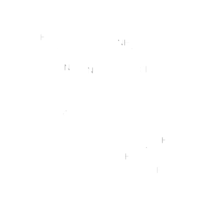 Nc1cc(F)nn1-c1c(Cl)cc(C(F)(F)F)cc1Cl